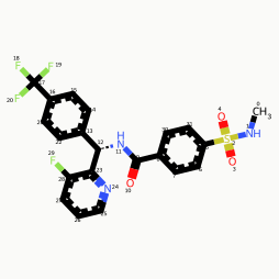 CNS(=O)(=O)c1ccc(C(=O)N[C@@H](c2ccc(C(F)(F)F)cc2)c2ncccc2F)cc1